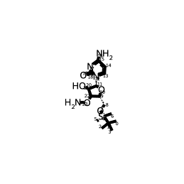 CC(C)(C)[Si](C)(C)OC[C@H]1O[C@@H](n2ccc(N)nc2=O)C(O)C1ON